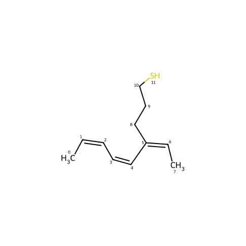 C\C=C/C=C\C(=C/C)CCCS